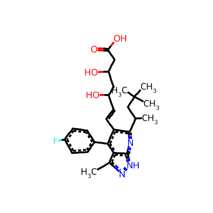 Cc1n[nH]c2nc(C(C)CC(C)(C)C)c(/C=C/C(O)CC(O)CC(=O)O)c(-c3ccc(F)cc3)c12